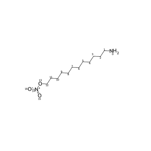 NCCCCCCCCCCCCO[N+](=O)[O-]